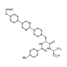 CCCCCCCOc1ccc(-c2cnc(-c3ccc(C[C@H](NC(=O)c4ccc(C(C)(C)C)cc4)C(=O)N[C@@H](C)C(=O)O)cc3)nc2)cc1